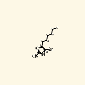 CCCCCCc1oc(Cl)nc1Br